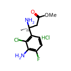 COC(=O)C[C@](C)(N)c1ccc(F)c(N)c1Cl.Cl